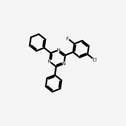 Fc1ccc(Cl)cc1-c1nc(C2=CCCC=C2)nc(-c2ccccc2)n1